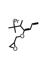 C=C/C=C(/OCC1CO1)C(C)C(C)(C)C(C)C